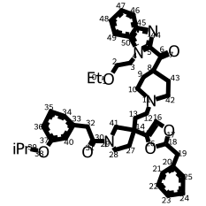 CCOCCn1c(C(=O)C2CCN(CCC3(C4=COC(Cc5ccccc5)O4)CCN(C(=O)Cc4cccc(OC(C)C)c4)C3)CC2)nc2ccccc21